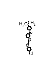 CC(C)c1ccc(Oc2cccc(OCCOc3ccc(Cl)cc3)c2)cc1